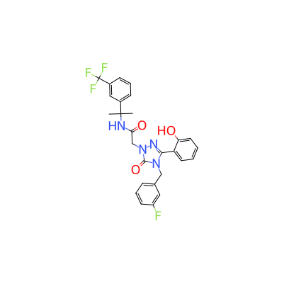 CC(C)(NC(=O)Cn1nc(-c2ccccc2O)n(Cc2cccc(F)c2)c1=O)c1cccc(C(F)(F)F)c1